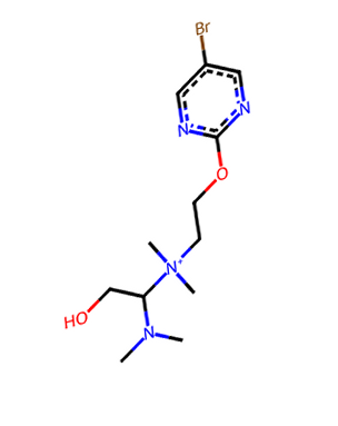 CN(C)C(CO)[N+](C)(C)CCOc1ncc(Br)cn1